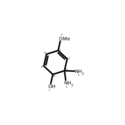 COC1=CC(N)(N)C(O)C=C1